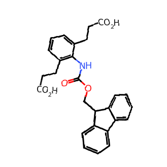 O=C(O)CCc1cccc(CCC(=O)O)c1NC(=O)OCC1c2ccccc2-c2ccccc21